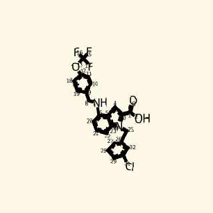 O=C(O)c1cc2c(NCc3ccc(OC(F)(F)F)cc3)cccc2n1Cc1cccc(Cl)c1